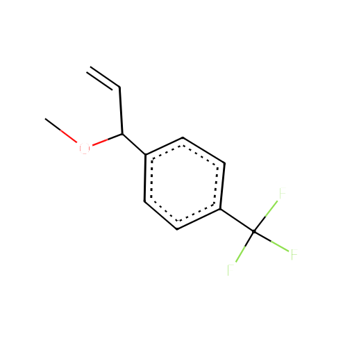 C=CC(OC)c1ccc(C(F)(F)F)cc1